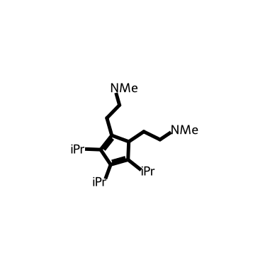 CNCCC1=C(C(C)C)C(C(C)C)=C(C(C)C)C1CCNC